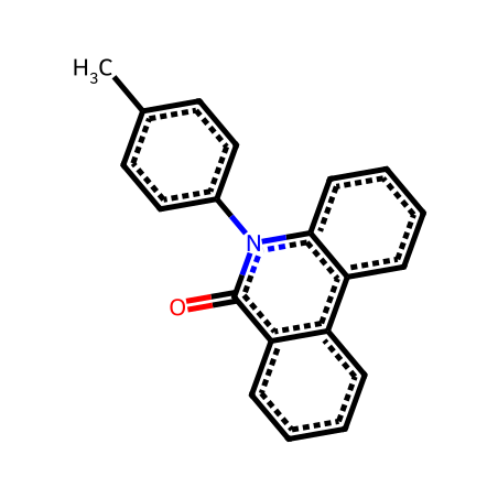 Cc1ccc(-n2c(=O)c3ccccc3c3ccccc32)cc1